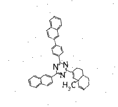 CC12C=CCCC1CCC(c1nc(-c3ccc(-c4ccc5ccccc5c4)cc3)nc(-c3ccc4ccccc4c3)n1)=C2